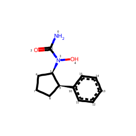 NC(=O)N(O)[C@@H]1CCC[C@@H]1c1ccccc1